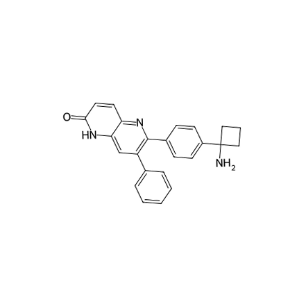 NC1(c2ccc(-c3nc4ccc(=O)[nH]c4cc3-c3ccccc3)cc2)CCC1